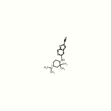 CN(C)[C@@H]1CC[C@H](Nc2cc3cc(C#N)oc3cn2)C(C)(C)C1